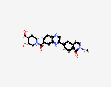 Cn1ccc2cc(-c3cnc4ccc(C(=O)N5CC[C@H](CO)[C@@H](O)C5)cc4n3)ccc2c1=O